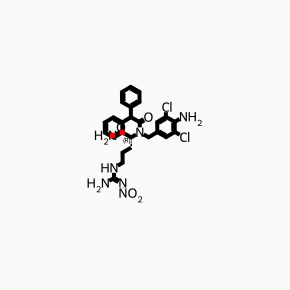 NC(=O)[C@@H](CCCNC(N)=N[N+](=O)[O-])N(Cc1cc(Cl)c(N)c(Cl)c1)C(=O)C(c1ccccc1)c1ccccc1